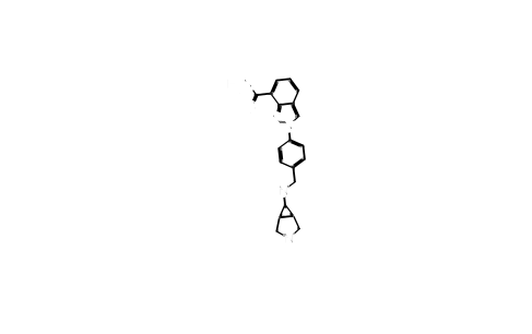 NC(=O)c1cccc2cn(-c3ccc(CNC4C5CNCC54)cc3)nc12